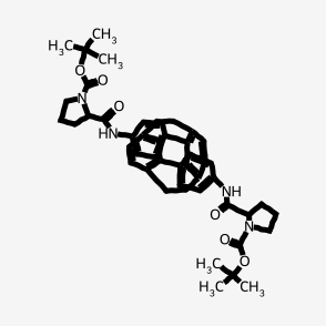 CC(C)(C)OC(=O)N1CCCC1C(=O)Nc1ccc(-c2cc3ccc2CCc2ccc(c(-c4ccc(NC(=O)C5CCCN5C(=O)OC(C)(C)C)cc4)c2)CC3)cc1